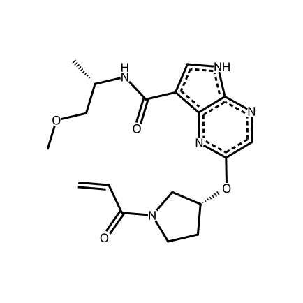 C=CC(=O)N1CC[C@@H](Oc2cnc3[nH]cc(C(=O)N[C@@H](C)COC)c3n2)C1